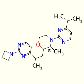 CC(C)c1ccnc(N2CCOC(CC(C)c3ccnc(N4CCC4)n3)[C@@H]2C)n1